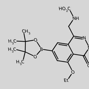 CCOc1cc(B2OC(C)(C)C(C)(C)O2)cc2c(CNC(=O)O)n[nH]c(=O)c12